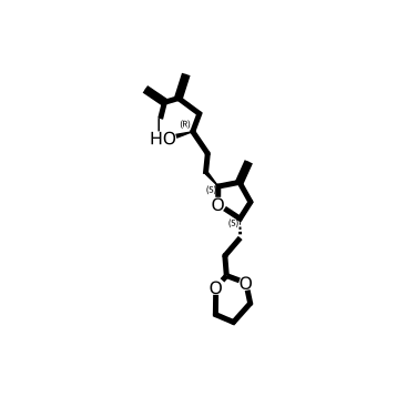 C=C(I)C(=C)C[C@H](O)CC[C@@H]1O[C@@H](CCC2OCCCO2)CC1=C